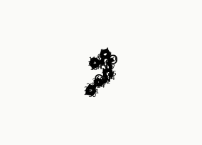 O=C1c2ccccc2C(c2ccccc2)NC1CC1CCN(Cc2cc(-c3ccccc3)co2)CC1